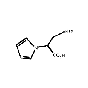 CCCCCCCC(C(=O)O)n1ccnc1